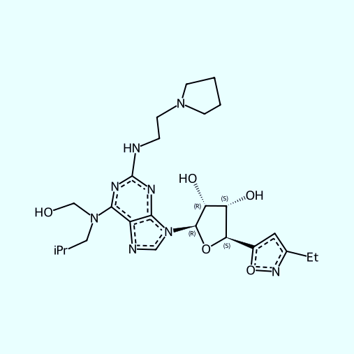 CCc1cc([C@H]2O[C@@H](n3cnc4c(N(CO)CC(C)C)nc(NCCN5CCCC5)nc43)[C@H](O)[C@@H]2O)on1